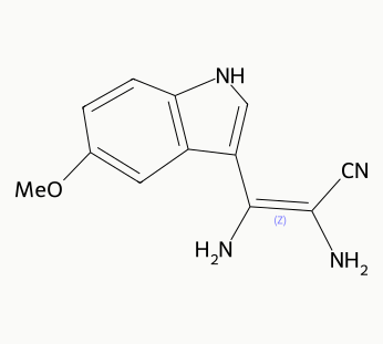 COc1ccc2[nH]cc(/C(N)=C(/N)C#N)c2c1